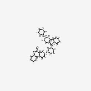 O=c1oc2ccccc2c2ccc(-c3cccc(-n4c5ccccc5c5cc(-c6ccccc6)ccc54)c3)cc12